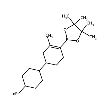 CCCC1CCC(C2CCC(B3OC(C)(C)C(C)(C)O3)=C(C)C2)CC1